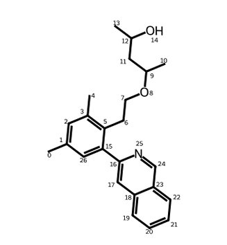 Cc1cc(C)c(CCOC(C)CC(C)O)c(-c2cc3ccccc3cn2)c1